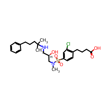 CN(C[C@H](O)CNC(C)(C)CCCc1ccccc1)S(=O)(=O)c1ccc(CCCC(=O)O)c(Cl)c1